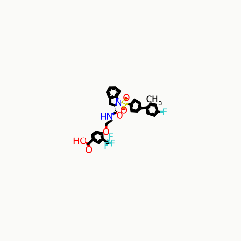 Cc1cc(F)ccc1-c1ccc(S(=O)(=O)N2c3ccccc3C[C@H]2C(=O)NCCOc2ccc(C(=O)O)cc2C(F)(F)F)cc1